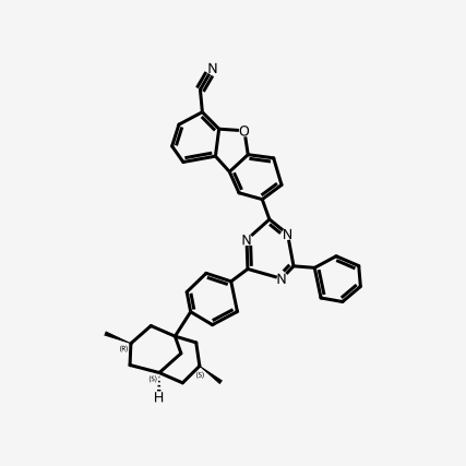 C[C@@H]1C[C@@H]2C[C@H](C)CC(c3ccc(-c4nc(-c5ccccc5)nc(-c5ccc6oc7c(C#N)cccc7c6c5)n4)cc3)(C1)C2